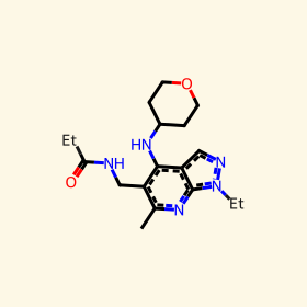 CCC(=O)NCc1c(C)nc2c(cnn2CC)c1NC1CCOCC1